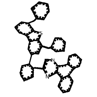 c1ccc(-c2cccc3c2sc2c(-c4ccccc4)cc(-c4ccccc4-c4cnc5c6ccccc6c6ccccc6c5n4)cc23)cc1